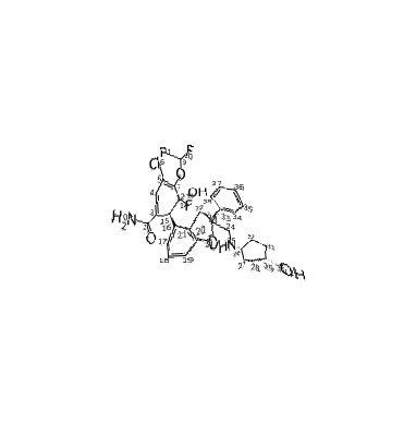 NC(=O)C1=CC(Cl)=C(OC(F)F)[C@@](O)(F)[C@H]1c1cccc2c1CC(CN[C@H]1CC[C@@H](O)CC1)(c1ccccc1)O2